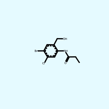 CCC(=O)Nc1cc(Cl)c(Br)cc1CO